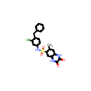 Cc1cc2[nH]c(=O)c(=O)[nH]c2cc1S(=O)(=O)Nc1ccc(Cc2ccccc2)c(Cl)c1